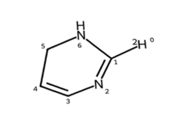 [2H]C1=NC=CCN1